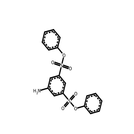 Nc1cc(S(=O)(=O)Oc2ccccc2)cc(S(=O)(=O)Oc2ccccc2)c1